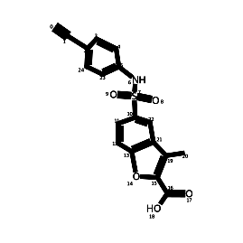 C#Cc1ccc(NS(=O)(=O)c2ccc3oc(C(=O)O)c(C)c3c2)cc1